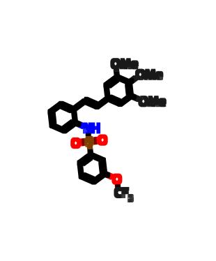 COc1cc(C=Cc2ccccc2NS(=O)(=O)c2cccc(OC(F)(F)F)c2)cc(OC)c1OC